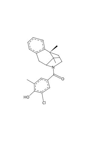 Cc1cc(C(=O)N2CC[C@@]3(C)c4ccccc4CC2C3(C)C)cc(Cl)c1O